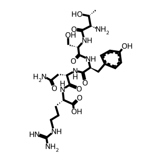 C[C@@H](O)[C@H](N)C(=O)N[C@@H](CO)C(=O)N[C@@H](Cc1ccc(O)cc1)C(=O)N[C@@H](CC(N)=O)C(=O)N[C@@H](CCCNC(=N)N)C(=O)O